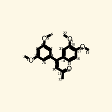 COc1cc(OC)cc(C(=CC(C)=O)c2ccc(OC)c(OC)c2)c1